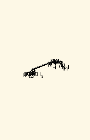 CC(C)NC(=O)O[C@@H]1CC[C@H](c2cc(NC(=O)c3cnn(CCCCCCCCCCCc4ccc5c(c4)n(C)c(=O)n5C4CCC(=O)NC4=O)c3)[nH]n2)C1